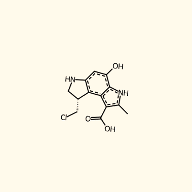 Cc1[nH]c2c(O)cc3c(c2c1C(=O)O)[C@H](CCl)CN3